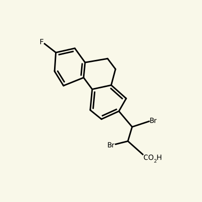 O=C(O)C(Br)C(Br)c1ccc2c(c1)CCc1cc(F)ccc1-2